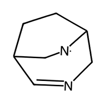 C1=NCC2CCC1C[N]2